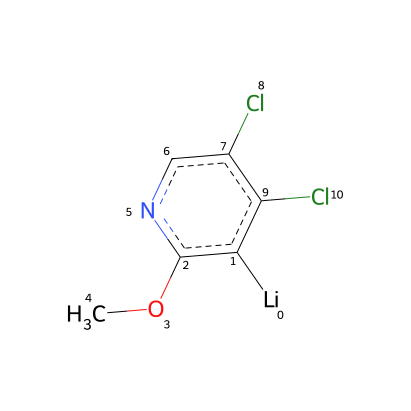 [Li][c]1c(OC)ncc(Cl)c1Cl